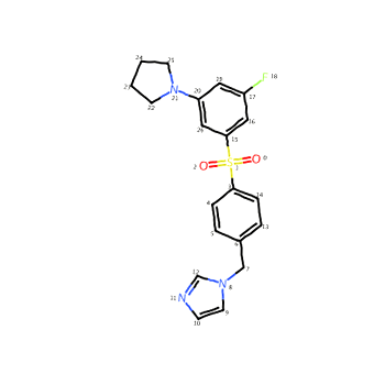 O=S(=O)(c1ccc(Cn2ccnc2)cc1)c1cc(F)cc(N2CCCC2)c1